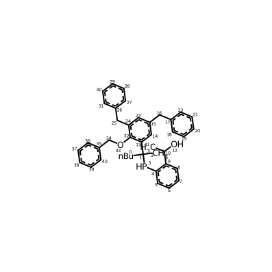 CCCCC(C)(Pc1ccccc1C(C)O)c1cc(Cc2ccccc2)cc(Cc2ccccc2)c1OCc1ccccc1